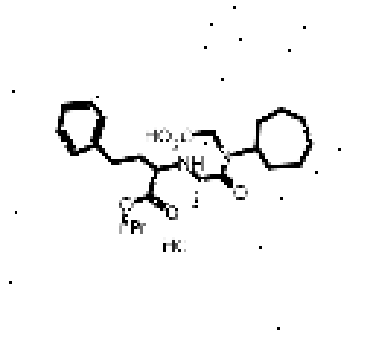 CCCOC(=O)C(CCc1ccccc1)N[C@@H](C)C(=O)N(CC(=O)O)C1CCCCCC1.Cl